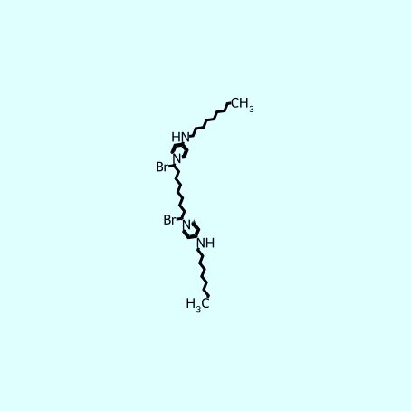 CCCCCCCCCNc1cc[n+](C(Br)CCCCCCCC(Br)[n+]2ccc(NCCCCCCCCC)cc2)cc1